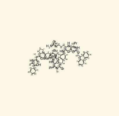 CCC(C)[C@@H]([C@@H](CC(=O)N1CCCC1[C@H](OC)[C@@H](C)C(=O)N[C@H](C)[C@@H](O)c1ccccc1)OC)N(C)C(=O)[C@@H](NC(=O)[C@H](C(C)C)N(C)C(=O)OCc1ccc(NC(=O)C(CCCNC(N)=O)NC(=O)[C@@H](NC(=O)OCC2c3ccccc3-c3ccccc32)C(C)C)cc1)C(C)C